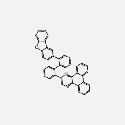 c1ccc(-c2ccccc2-c2cnc3c4ccccc4c4ccccc4c3n2)c(-c2ccc3oc4ccccc4c3c2)c1